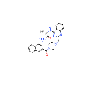 CC(C)[C@H](Nc1nc(CN2CCN(C(=O)c3ccc4ccccc4c3)CC2)nc2ccccc12)C(N)=O